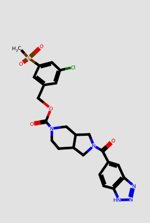 CS(=O)(=O)c1cc(Cl)cc(COC(=O)N2CCC3CN(C(=O)c4ccc5[nH]nnc5c4)CC3C2)c1